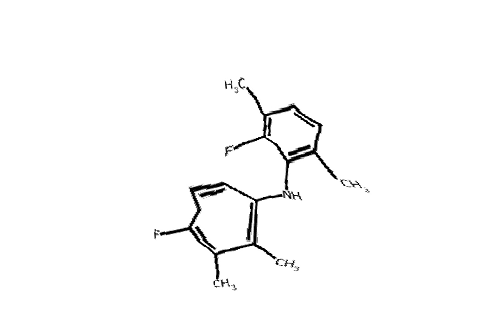 Cc1ccc(C)c(Nc2ccc(F)c(C)c2C)c1F